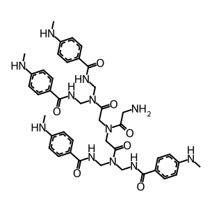 CNc1ccc(C(=O)NCN(CNC(=O)c2ccc(NC)cc2)C(=O)CN(CC(=O)N(CNC(=O)c2ccc(NC)cc2)CNC(=O)c2ccc(NC)cc2)C(=O)CN)cc1